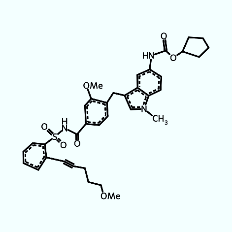 COCCCC#Cc1ccccc1S(=O)(=O)NC(=O)c1ccc(Cc2cn(C)c3ccc(NC(=O)OC4CCCC4)cc23)c(OC)c1